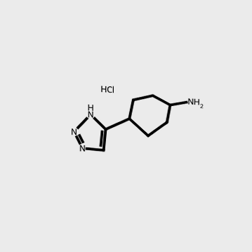 Cl.NC1CCC(c2cnn[nH]2)CC1